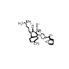 Cc1ccc2c(c1)c(N1CCN(C(=O)c3ccco3)CC1)c([N+](=O)[O-])c(=O)n2CCCN(C)C